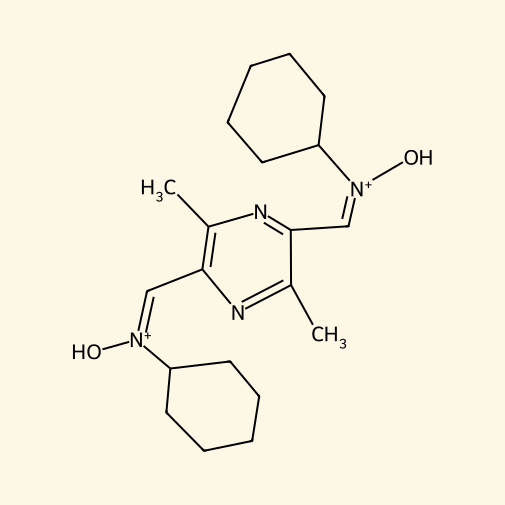 Cc1nc(/C=[N+](/O)C2CCCCC2)c(C)nc1/C=[N+](/O)C1CCCCC1